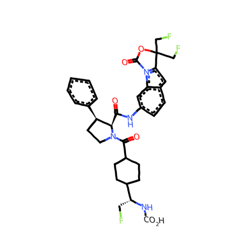 O=C(O)N[C@H](CF)C1CCC(C(=O)N2CC[C@@H](c3ccccc3)[C@H]2C(=O)Nc2ccc3cc4n(c3c2)C(=O)OC4(CF)CF)CC1